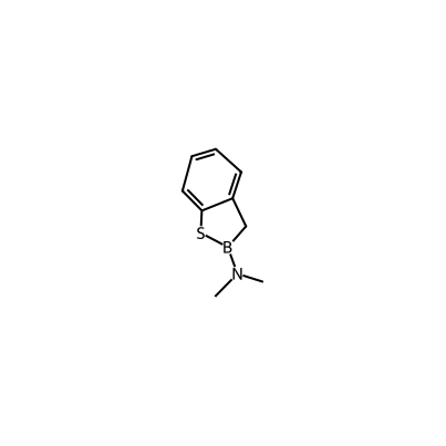 CN(C)B1Cc2ccccc2S1